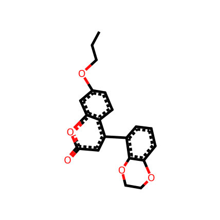 CCCOc1ccc2c(-c3cccc4c3OCCO4)cc(=O)oc2c1